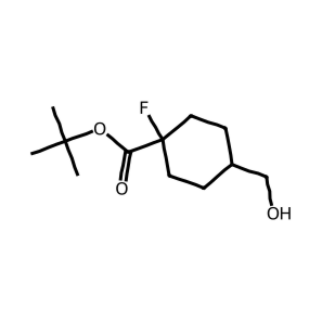 CC(C)(C)OC(=O)C1(F)CCC(CO)CC1